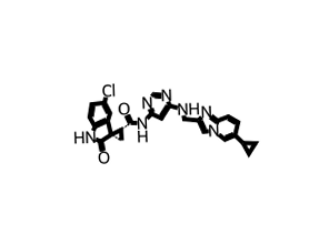 O=C(Nc1cc(NCc2cn3cc(C4CC4)ccc3n2)ncn1)[C@@H]1C[C@@]12C(=O)Nc1ccc(Cl)cc12